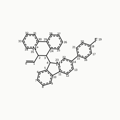 C=CC1C(C2c3ccccc3-c3ccc(-c4ccc(F)cc4)c[n+]32)c2ccccc2-c2cccc[n+]21